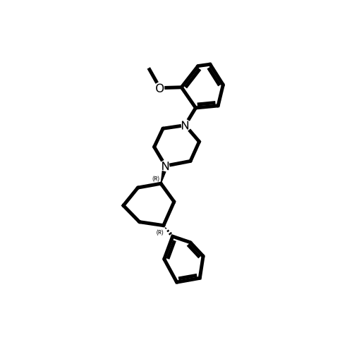 COc1ccccc1N1CCN([C@@H]2CCC[C@@H](c3ccccc3)C2)CC1